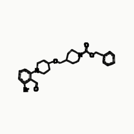 O=Cc1c(Br)cccc1N1CCC(OCC2CCN(C(=O)OCc3ccccc3)CC2)CC1